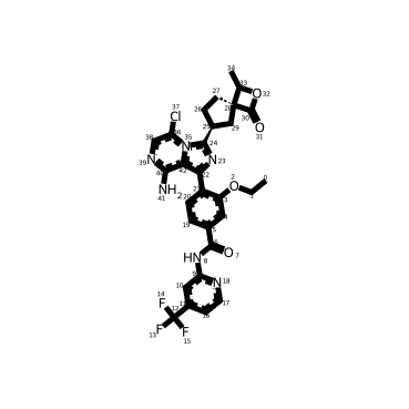 CCOc1cc(C(=O)Nc2cc(C(F)(F)F)ccn2)ccc1-c1nc([C@H]2CC[C@@]3(C2)C(=O)OC3C)n2c(Cl)cnc(N)c12